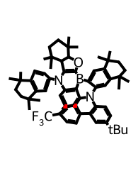 Cc1cc2c3c(c1)N(c1ccc(C(C)(C)C)cc1-c1ccc(C(F)(F)F)cc1)c1cc4c(cc1B3C1=C(C3C(O1)C(C)(C)CCC3(C)C)N2c1ccc2c(c1)C(C)(C)CCC2(C)C)C(C)(C)CCC4(C)C